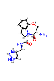 N[C@H]1COc2cccc3c2N(C1=O)[C@H](C(=O)NCc1c[nH]nn1)C3